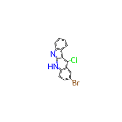 Clc1c2c3ccccc3nc-2[nH]c2ccc(Br)cc12